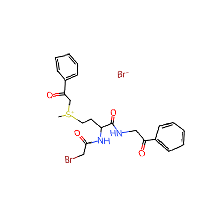 C[S+](CCC(NC(=O)CBr)C(=O)NCC(=O)c1ccccc1)CC(=O)c1ccccc1.[Br-]